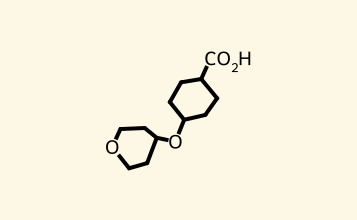 O=C(O)C1CCC(OC2CCOCC2)CC1